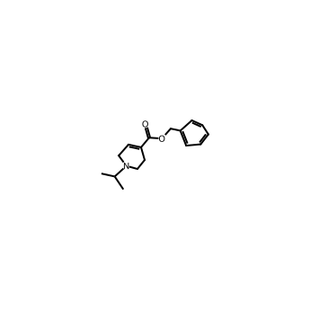 CC(C)N1CC=C(C(=O)OCc2ccccc2)CC1